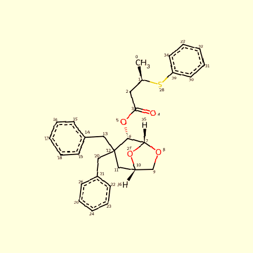 C[C@H](CC(=O)O[C@@H]1[C@@H]2OC[C@H](CC1(Cc1ccccc1)Cc1ccccc1)O2)Sc1ccccc1